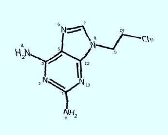 Nc1nc(N)c2ncn(CCCl)c2n1